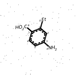 [CH2]Cc1cc(N)ccc1C(=O)O